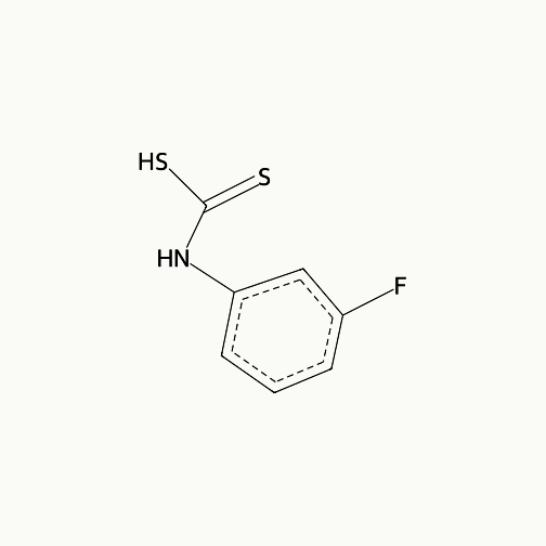 Fc1cccc(NC(=S)S)c1